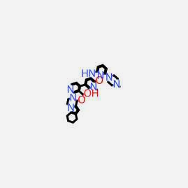 CN1CCN(c2cccc(Nc3cc(-c4ccnc(N5CCn6c(cc7c6CCCC7)C5=O)c4CO)cn(C)c3=O)n2)CC1